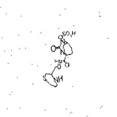 O=C(NOCC1CSCCN1)[C@@H]1CCC2CN1C(=O)N2OS(=O)(=O)O